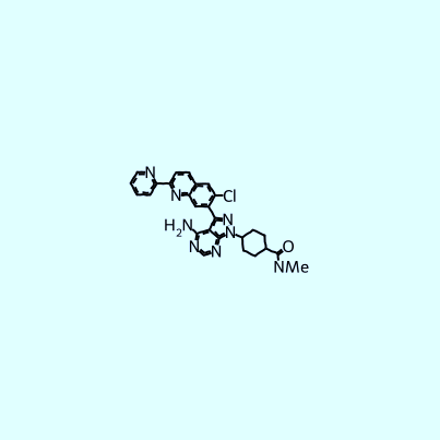 CNC(=O)C1CCC(n2nc(-c3cc4nc(-c5ccccn5)ccc4cc3Cl)c3c(N)ncnc32)CC1